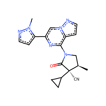 C[C@@H]1CN(c2nc(-c3ccnn3C)cn3nccc23)C(=O)[C@]1(C#N)C1CC1